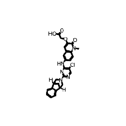 Cn1c(=O)c(OCC(=O)O)cc2cc(Nc3nc(N4C[C@H]5C[C@@H](C4)c4ccccc45)ncc3Cl)ccc21